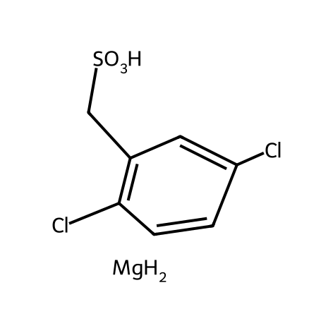 O=S(=O)(O)Cc1cc(Cl)ccc1Cl.[MgH2]